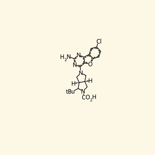 CC(C)(C)C1[C@@H]2CN(c3nc(N)nc4c3oc3ccc(Cl)cc34)C[C@@H]2CN1C(=O)O